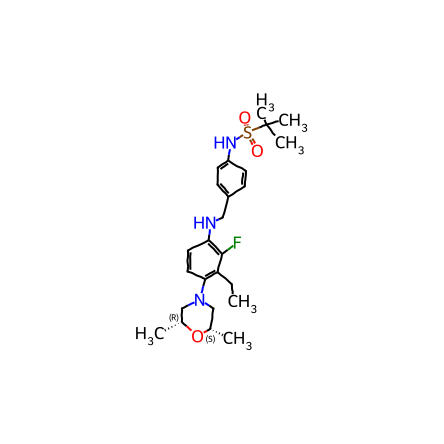 CCc1c(N2C[C@@H](C)O[C@@H](C)C2)ccc(NCc2ccc(NS(=O)(=O)C(C)(C)C)cc2)c1F